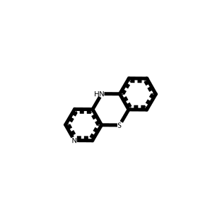 c1ccc2c(c1)Nc1ccncc1S2